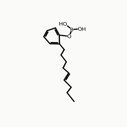 CCCC=CCCCCc1ccccc1OB(O)O